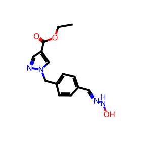 CCOC(=O)c1cnn(Cc2ccc(C=NNO)cc2)c1